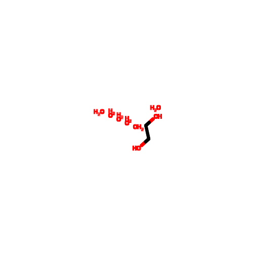 O.O.O.O.O.O.OCCO